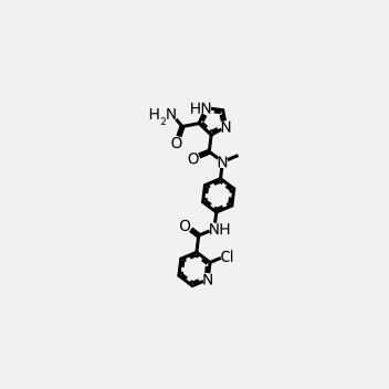 CN(C(=O)c1nc[nH]c1C(N)=O)c1ccc(NC(=O)c2cccnc2Cl)cc1